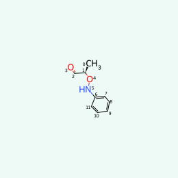 C[C@H](C=O)ONc1ccccc1